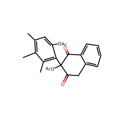 CC(=O)Oc1cc(C)c(C)c(C)c1C1(OC(C)=O)C(=O)Cc2ccccc2C1=O